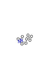 c1ccc(-c2nc(-c3cccc4c3Cc3c(-c5ccc6c(c5)C5(c7ccccc7-c7ccccc75)c5ccccc5-6)cccc3-4)nc3ccccc23)cc1